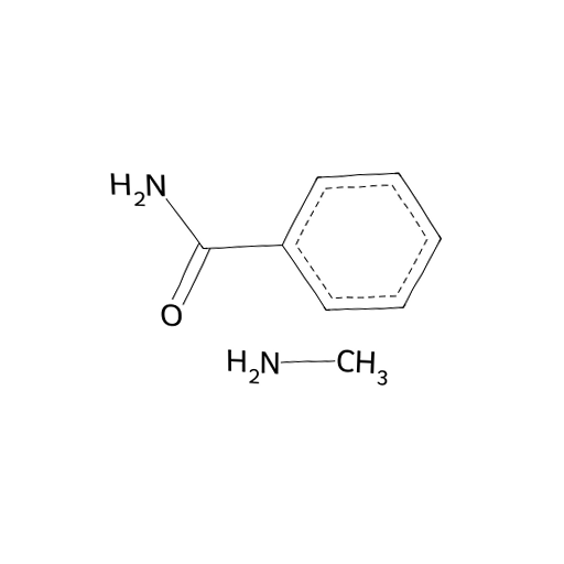 CN.NC(=O)c1ccccc1